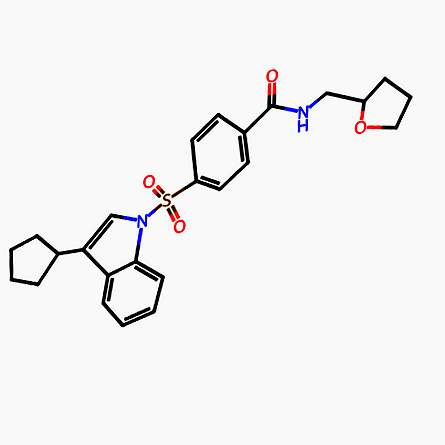 O=C(NCC1CCCO1)c1ccc(S(=O)(=O)n2cc(C3CCCC3)c3ccccc32)cc1